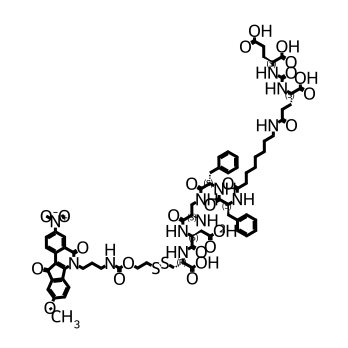 COc1ccc2c(c1)C(=O)c1c-2n(CCCNC(=O)OCCSSC[C@H](NC(=O)[C@H](CC(=O)O)NC(=O)[C@@H](N)CNC(=O)[C@H](Cc2ccccc2)NC(=O)[C@H](Cc2ccccc2)NC(=O)CCCCCCCNC(=O)CC[C@H](NC(=O)N[C@@H](CCC(=O)O)C(=O)O)C(=O)O)C(=O)O)c(=O)c2cc([N+](=O)[O-])ccc12